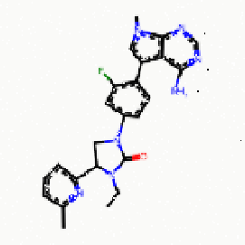 CCN1C(=O)N(c2ccc(-c3cn(C)c4ncnc(N)c34)c(F)c2)CC1c1cccc(C)n1